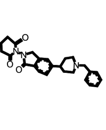 O=C1c2ccc(C3CCN(Cc4ccccc4)CC3)cc2CN1N1C(=O)CCCC1=O